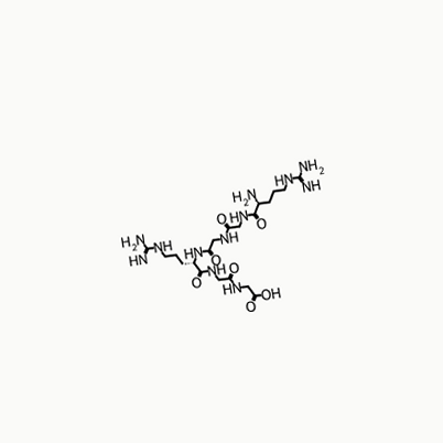 N=C(N)NCCC[C@H](NC(=O)CNC(=O)CNC(=O)[C@@H](N)CCCNC(=N)N)C(=O)NCC(=O)NCC(=O)O